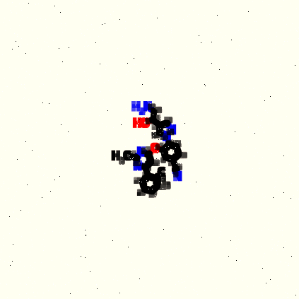 Cc1nc(Oc2cc(C#N)ccc2-n2cc(C(O)CN)cn2)cc(-c2ccccc2C)n1